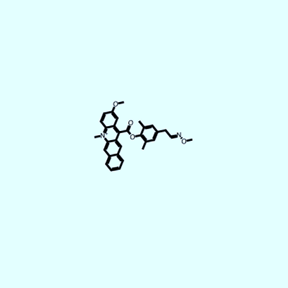 CON=CCc1cc(C)c(OC(=O)c2c3cc(OC)ccc3[n+](C)c3cc4ccccc4cc23)c(C)c1